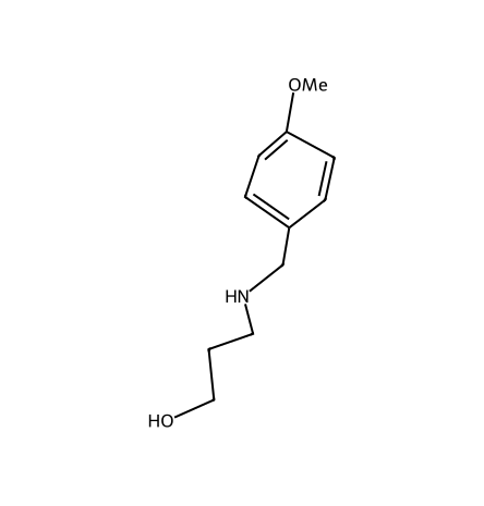 COc1ccc(CNCCCO)cc1